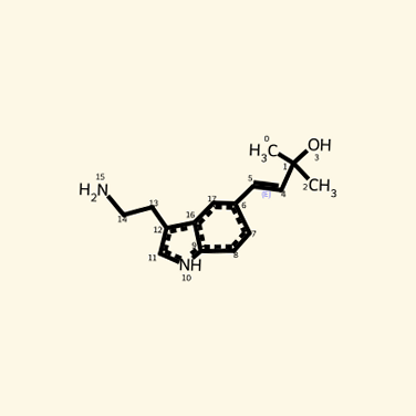 CC(C)(O)/C=C/c1ccc2[nH]cc(CCN)c2c1